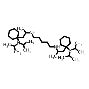 CC(CC1(N(C(C)C)C(C)C)CCCCC1)NCCCCCNC(C)CC1(N(C(C)C)C(C)C)CCCCC1